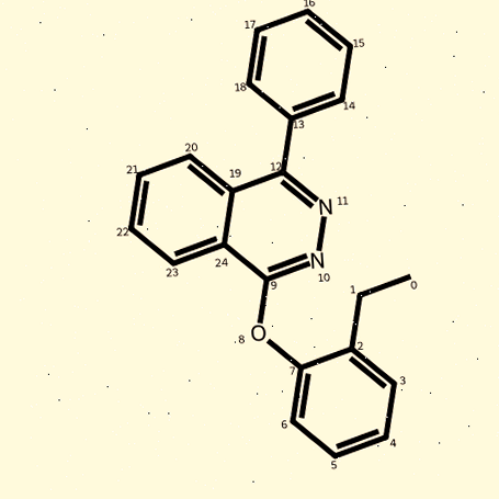 CCc1ccccc1Oc1nnc(-c2ccccc2)c2ccccc12